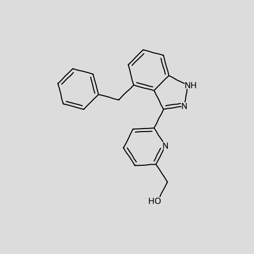 OCc1cccc(-c2n[nH]c3cccc(Cc4ccccc4)c23)n1